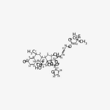 C[C@@H]1CC2C3C[C@H](C)C4=CC(=O)C=C[C@]4(C)[C@@]3(F)[C@@H](O)CC2(C)[C@@]1(OC(=O)c1ccco1)C(=O)SCC#CCOC(=O)CC(C)(C)F